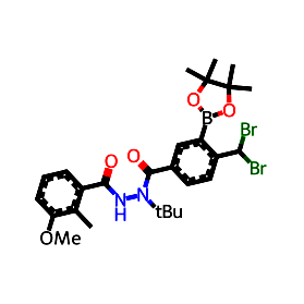 COc1cccc(C(=O)NN(C(=O)c2ccc(C(Br)Br)c(B3OC(C)(C)C(C)(C)O3)c2)C(C)(C)C)c1C